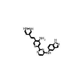 Nc1cc(-c2nccc(Nc3ccc4[nH]ncc4c3)n2)ncc1/C=C/C1=CNNC=C1